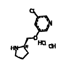 Cl.Cl.Clc1cncc(OC[C@H]2CCCN2)c1